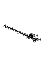 CCCCCCCC=CCC=CCC=CCC=CCCCC(=O)NC(CCC(=O)O)C(=O)O